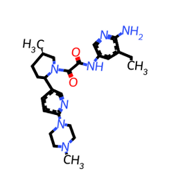 CCc1cc(NC(=O)C(=O)N2C[C@@H](C)CCC2c2ccc(N3CCN(C)CC3)nc2)cnc1N